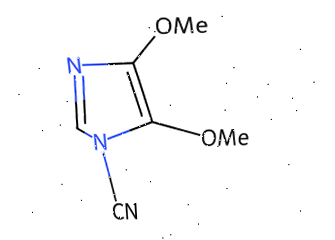 COc1ncn(C#N)c1OC